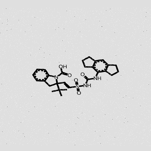 CC(C)(C)C1(C=CS(=O)(=O)NC(=O)Nc2c3c(cc4c2CCC4)CCC3)Cc2ccccc2N1C(=O)O